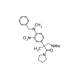 CNCC(C)(C(=O)N1CCCC1)c1ccc(N(C)Cc2ccccc2)c([N+](=O)[O-])c1